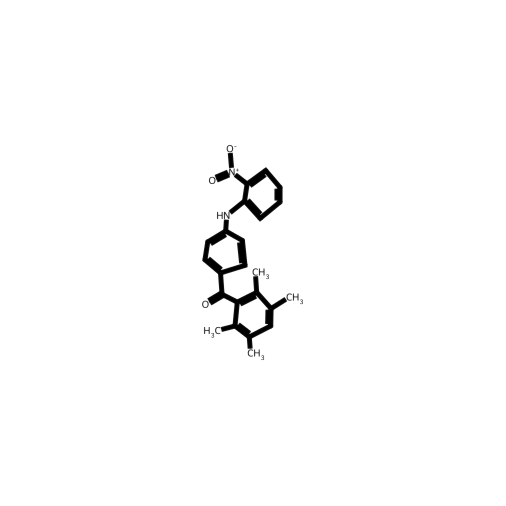 Cc1cc(C)c(C)c(C(=O)c2ccc(Nc3ccccc3[N+](=O)[O-])cc2)c1C